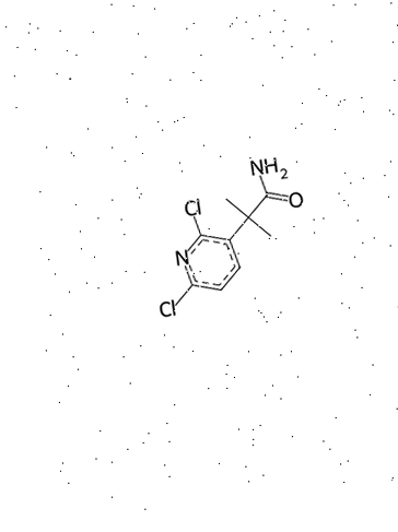 CC(C)(C(N)=O)c1ccc(Cl)nc1Cl